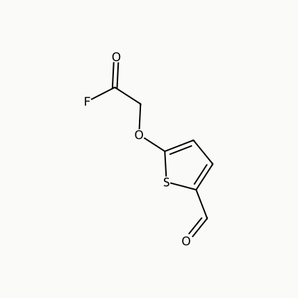 O=Cc1ccc(OCC(=O)F)s1